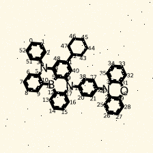 c1ccc(N2c3ccccc3B3c4ccccc4N(c4ccc(N5c6ccccc6Oc6ccccc65)cc4)c4cc(C5CCCCC5)cc2c43)cc1